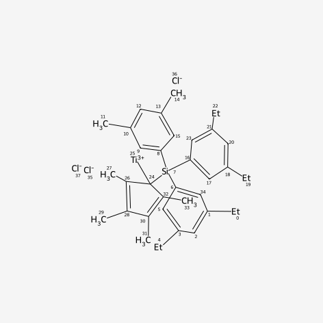 CCc1cc(CC)cc([Si](c2cc(C)cc(C)c2)(c2cc(CC)cc(CC)c2)[C]2([Ti+3])C(C)=C(C)C(C)=C2C)c1.[Cl-].[Cl-].[Cl-]